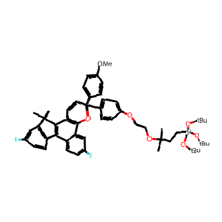 COc1ccc(C2(c3ccc(OCCOC(C)(C)CC[Si](OC(C)(C)C)(OC(C)(C)C)OC(C)(C)C)cc3)C=Cc3c4c(c5ccc(F)cc5c3O2)-c2ccc(F)cc2C4(C)C)cc1